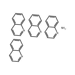 N.c1ccc2ncccc2c1.c1ccc2ncccc2c1.c1ccc2ncccc2c1.c1ccc2ncccc2c1